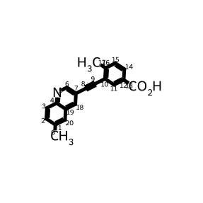 Cc1ccc2ncc(C#Cc3cc(C(=O)O)ccc3C)cc2c1